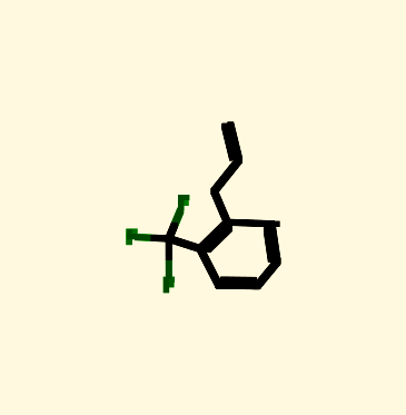 C=CCc1[c]cccc1C(F)(F)F